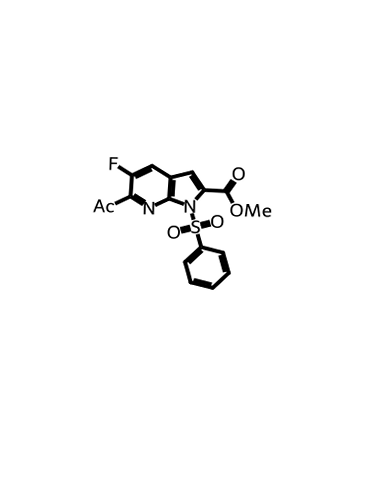 COC(=O)c1cc2cc(F)c(C(C)=O)nc2n1S(=O)(=O)c1ccccc1